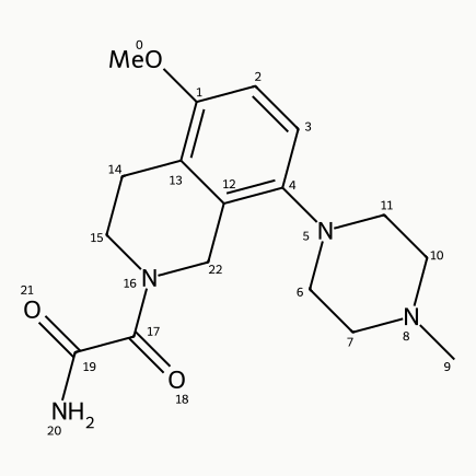 COc1ccc(N2CCN(C)CC2)c2c1CCN(C(=O)C(N)=O)C2